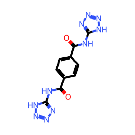 O=C(Nc1nnn[nH]1)c1ccc(C(=O)Nc2nnn[nH]2)cc1